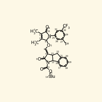 CC1=C(C)C(O/C=C2/C(=O)N(C(=O)OC(C)(C)C)C3c4ccccc4CC23)N(c2cc(I)cc(C(F)(F)F)c2)C1=O